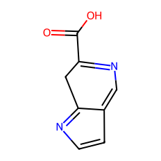 O=C(O)C1=NC=C2C=CN=C2C1